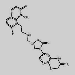 C=C1COc2ncc(N3C[C@H](CNCCc4c(F)ccc5ccc(=O)n(C)c45)OC3=O)nc2N1